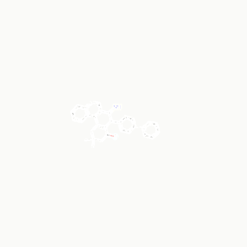 CC1(C)CC(=O)C2=C(C1)c1c(ccc3ccccc13)C(=N)C2c1ccc(-c2ccccc2)cc1